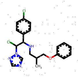 CC(CNC(c1ccc(Cl)cc1)C(Cl)n1cncn1)COc1ccccc1